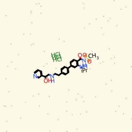 CC(C)Nc1cc(-c2ccc(CCNC[C@@H](O)c3cccnc3)cc2)ccc1C(=O)NS(C)(=O)=O.Cl.Cl.Cl